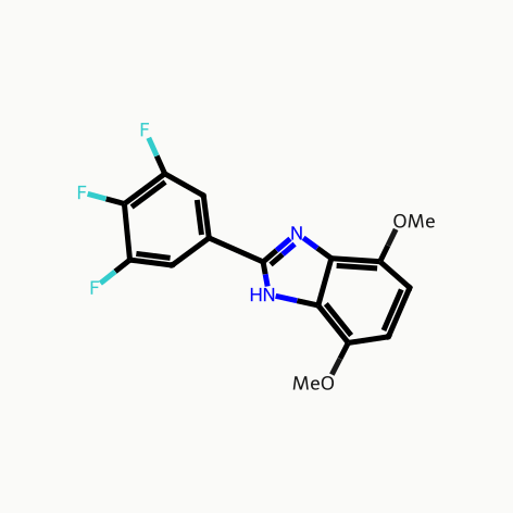 COc1ccc(OC)c2[nH]c(-c3cc(F)c(F)c(F)c3)nc12